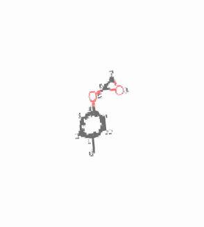 Cc1ccc(OC2CO2)cc1